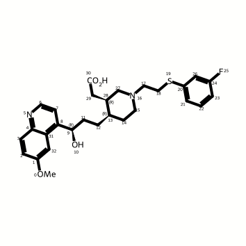 COc1ccc2nccc([C@H](O)CC[C@@H]3CCN(CCSc4cccc(F)c4)C[C@@H]3CC(=O)O)c2c1